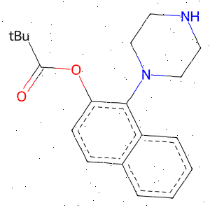 CC(C)(C)C(=O)Oc1ccc2ccccc2c1N1CCNCC1